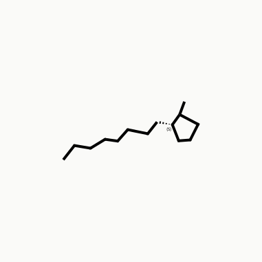 CCCCCCCC[C@H]1CCCC1C